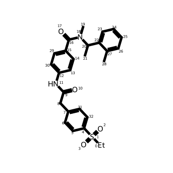 CCS(=O)(=O)c1ccc(CC(=O)Nc2ccc(C(=O)N(C)C(C)c3ccccc3C)cc2)cc1